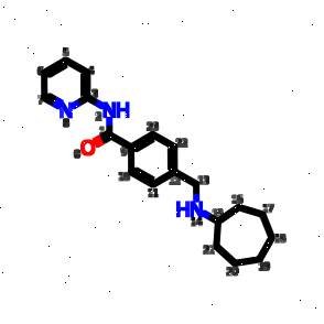 O=C(Nc1ccccn1)c1ccc(CNC2CCCCCC2)cc1